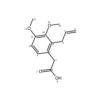 C=CCc1c(CC(=O)O)ccc(OC)c1OC